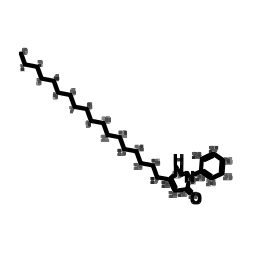 CCCCCCCCCCCCCCCCCCc1cc(=O)n(-c2ccccc2)[nH]1